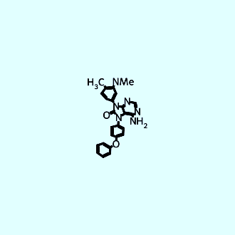 CNc1cc(-n2c(=O)n(-c3ccc(Oc4ccccc4)cc3)c3c(N)ncnc32)ccc1C